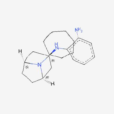 Nc1ccccc1N[C@H]1C[C@H]2CC[C@@H](C1)N2C1CCCCCC1